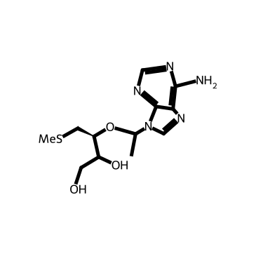 CSC[C@@H](OC(C)n1cnc2c(N)ncnc21)C(O)CO